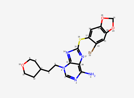 Nc1ncn(CCC2CCOCC2)c2nc(Sc3cc4c(cc3Br)OCO4)nc1-2